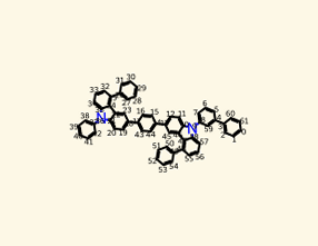 c1ccc(-c2cccc(-n3c4ccc(-c5ccc(-c6ccc7c(c6)c6c(-c8ccccc8)cccc6n7-c6ccccc6)cc5)cc4c4c(-c5ccccc5)cccc43)c2)cc1